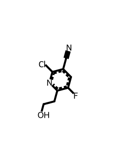 N#Cc1cc(F)c(CCO)nc1Cl